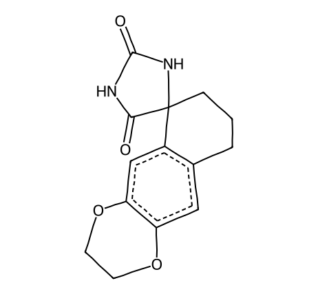 O=C1NC(=O)C2(CCCc3cc4c(cc32)OCCO4)N1